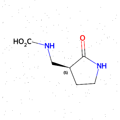 O=C(O)NC[C@@H]1CCNC1=O